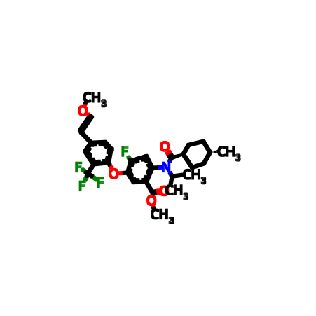 CO/C=C/c1ccc(Oc2cc(C(=O)OC)c(N(C(=O)[C@H]3CC[C@H](C)CC3)C(C)C)cc2F)c(C(F)(F)F)c1